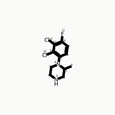 CC1CNCCN1c1ccc(F)c(Cl)c1Cl